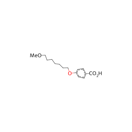 COCCCCCCCOc1ccc(C(=O)O)cc1